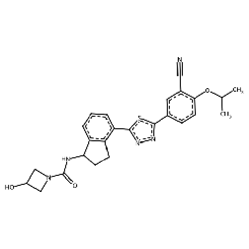 CC(C)Oc1ccc(-c2nnc(-c3cccc4c3CCC4NC(=O)N3CC(O)C3)s2)cc1C#N